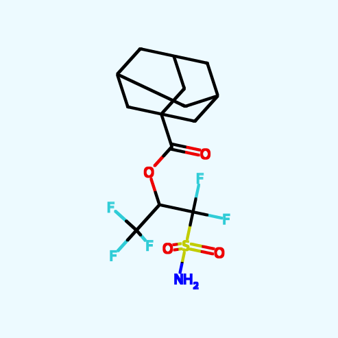 NS(=O)(=O)C(F)(F)C(OC(=O)C12CC3CC(CC(C3)C1)C2)C(F)(F)F